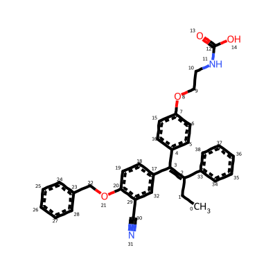 CC/C(=C(/c1ccc(OCCNC(=O)O)cc1)c1ccc(OCc2ccccc2)c(C#N)c1)c1ccccc1